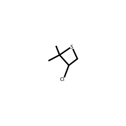 CC1(C)SCC1Cl